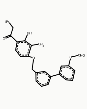 Cc1c(OCc2cccc(-c3cccc(OC=O)c3)c2)ccc(C(=O)CC(C)C)c1O